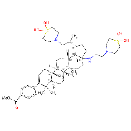 COC(=O)c1ccc(C2=CC[C@]3(C)[C@H]4CC[C@@H]5[C@H]6[C@H](C(C)CN7CCS(O)(O)CC7)CC[C@]6(NCCN6CCS(O)(O)CC6)CC[C@@]5(C)[C@]4(C)CC[C@H]3C2(C)C)cc1